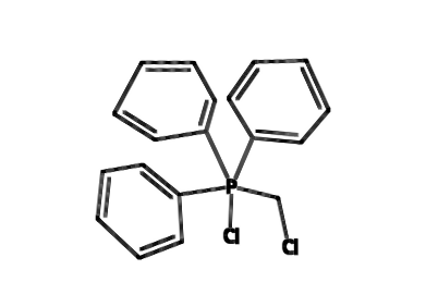 ClCP(Cl)(c1ccccc1)(c1ccccc1)c1ccccc1